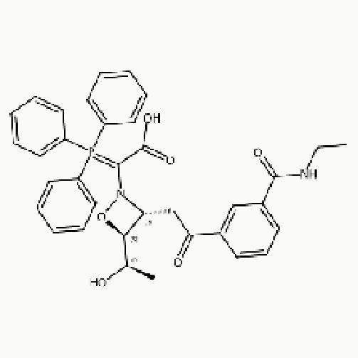 CCNC(=O)c1cccc(C(=O)C[C@@H]2[C@@H]([C@@H](C)O)ON2C(C(=O)O)=P(c2ccccc2)(c2ccccc2)c2ccccc2)c1